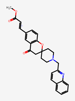 COC(=O)/C=C/c1ccc2c(c1)C(=O)CC1(CCN(Cc3ccc4ccccc4n3)CC1)O2